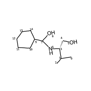 CC(C)[C@@H](CO)NC(O)C1CCCCC1